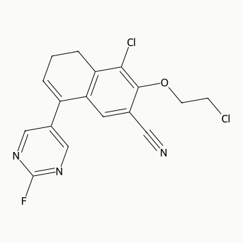 N#Cc1cc2c(c(Cl)c1OCCCl)CCC=C2c1cnc(F)nc1